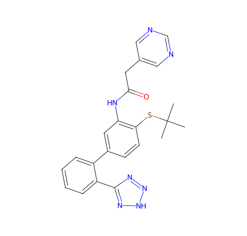 CC(C)(C)Sc1ccc(-c2ccccc2-c2nn[nH]n2)cc1NC(=O)Cc1cncnc1